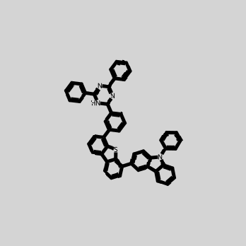 c1ccc(C2=NC(c3cccc(-c4cccc5c4sc4c(-c6ccc7c(c6)c6ccccc6n7-c6ccccc6)cccc45)c3)NC(c3ccccc3)=N2)cc1